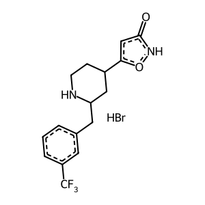 Br.O=c1cc(C2CCNC(Cc3cccc(C(F)(F)F)c3)C2)o[nH]1